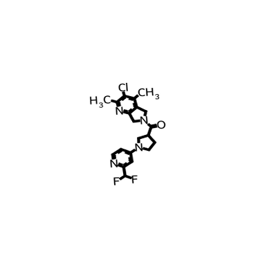 Cc1nc2c(c(C)c1Cl)CN(C(=O)C1CCN(c3ccnc(C(F)F)c3)C1)C2